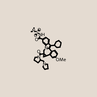 COc1ccc2c(c1)C1CC1(C(=O)N1CCCC1CN1CCCC1)Cn1c-2c(C2CCCCC2)c2ccc(C(=O)NS(=O)(=O)N(C)C)cc21